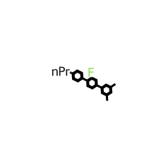 CCCc1ccc(-c2ccc(-c3cc(C)cc(C)c3)cc2F)cc1